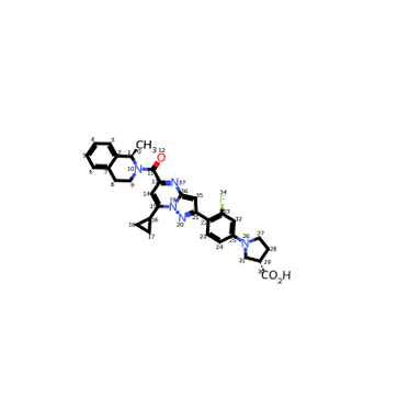 C[C@@H]1c2ccccc2CCN1C(=O)c1cc(C2CC2)n2nc(-c3ccc(N4CC[C@H](C(=O)O)C4)cc3F)cc2n1